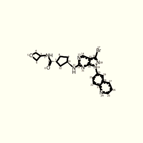 O=C(NC1COC1)[C@@H]1CC[C@@H](Nc2ncc3c(Br)nn(-c4ccc5ncccc5c4)c3n2)C1